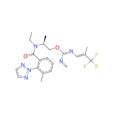 C=N/C(=N\C=C(/C)C(F)(F)F)OC[C@H](C)N(CC)C(=O)c1cccc(C)c1-n1nccn1